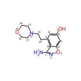 Nc1noc2cc(O)cc(CCN3CCOCC3)c12